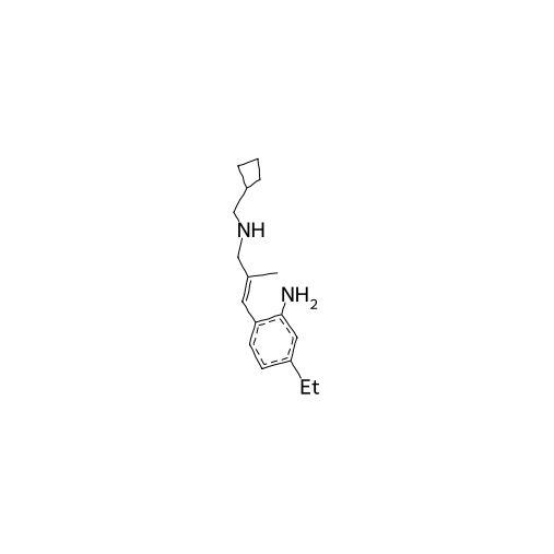 CCc1ccc(/C=C(\C)CNCC2CCC2)c(N)c1